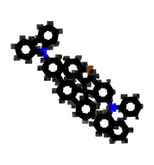 c1ccc(N(c2ccc3c(c2)C2(c4ccccc4-c4ccc(-c5ccc(-n6c7ccccc7c7ccccc76)cc5)cc42)c2c-3sc3ccccc23)c2cccc3ccccc23)cc1